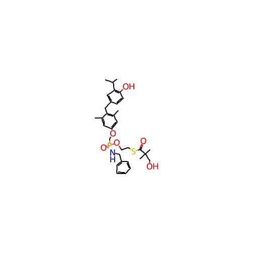 Cc1cc(OCP(=O)(NCc2ccccc2)OCCSC(=O)C(C)(C)CO)cc(C)c1Cc1ccc(O)c(C(C)C)c1